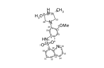 COc1ccc(NS(=O)(=O)c2cccc3cccnc23)cc1N1C[C@@H](C)N[C@@H](C)C1